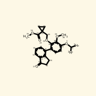 [2H]C([2H])Oc1ccc(-c2cccc3c2CCC3=O)c(OCC2(C(=O)OC)CC2)c1OC